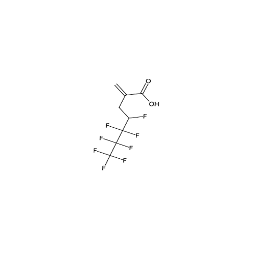 C=C(CC(F)C(F)(F)C(F)(F)C(F)(F)F)C(=O)O